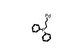 [Pd][CH2]CCP(c1ccccc1)c1ccccc1